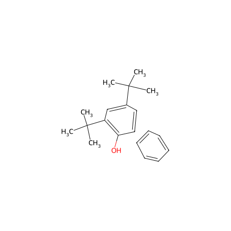 CC(C)(C)c1ccc(O)c(C(C)(C)C)c1.c1ccccc1